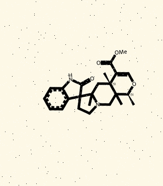 COC(=O)C1=CO[C@@H](C)C2(C)CN3CCC4(C(=O)Nc5ccccc54)C3(C)C[C@]12C